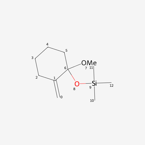 C=C1CCCCC1(OC)O[Si](C)(C)C